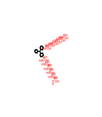 OB(O)O.OB(O)O.OB(O)O.OB(O)O.OB(O)O.OB(O)O.OB(O)O.OB(O)O.OB(O)O.OB(O)O.OB(O)O.OB(O)O.c1ccc(C(c2ccccc2)c2ccccc2)cc1